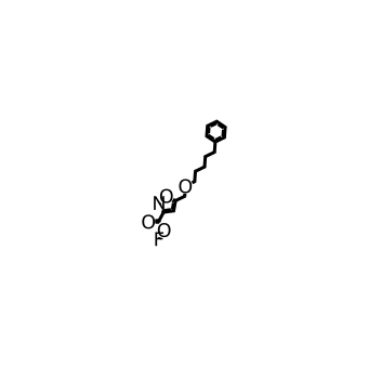 O=C(OF)c1cc(COCCCCCc2ccccc2)on1